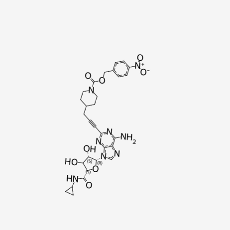 Nc1nc(C#CCC2CCN(C(=O)OCc3ccc([N+](=O)[O-])cc3)CC2)nc2c1ncn2[C@@H]1O[C@H](C(=O)NC2CC2)C(O)[C@@H]1O